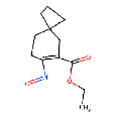 CCOC(=O)C1=C(N=O)CCC2(CCC2)C1